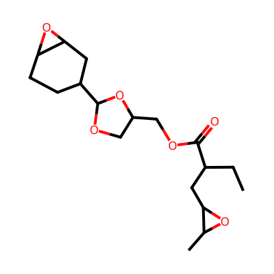 CCC(CC1OC1C)C(=O)OCC1COC(C2CCC3OC3C2)O1